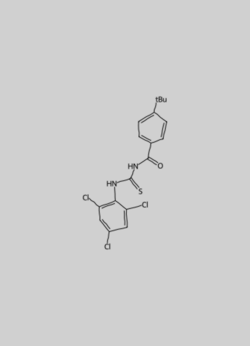 CC(C)(C)c1ccc(C(=O)NC(=S)Nc2c(Cl)cc(Cl)cc2Cl)cc1